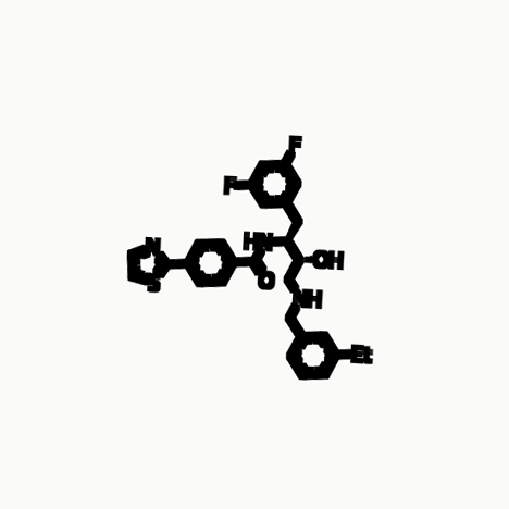 CCc1cccc(CNC[C@@H](O)[C@H](Cc2cc(F)cc(F)c2)NC(=O)c2ccc(-c3nccs3)cc2)c1